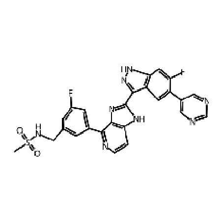 CS(=O)(=O)NCc1cc(F)cc(-c2nccc3[nH]c(-c4n[nH]c5cc(F)c(-c6cncnc6)cc45)nc23)c1